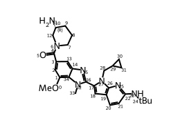 COc1cc(C(=O)N2CCC[C@@H](N)C2)cc2nc(-c3cc4ccc(NC(C)(C)C)nc4n3CC3CC3)n(C)c12